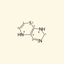 C1=CSC2=C(C=NCN2)N1